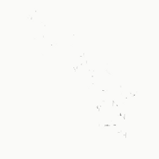 CC(CC(C)(C)OOC(C)(C)C)OC(=O)c1ccc2c(c1)C(=O)N(NC(=O)O)C2=O